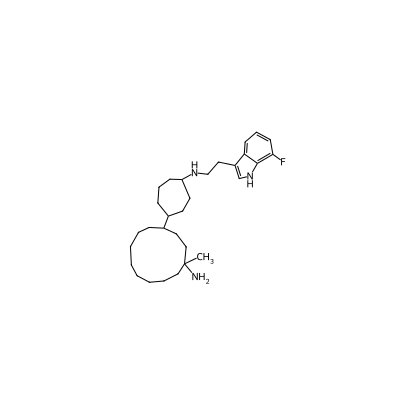 CC1(N)CCCCCCCCC(C2CCCC(NCCc3c[nH]c4c(F)cccc34)CC2)CC1